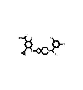 CC(c1cc(Cl)cc(Cl)c1)N1CCC2(CC1)CC(Oc1cc(F)c(C(=O)O)cc1C1CC1)C2